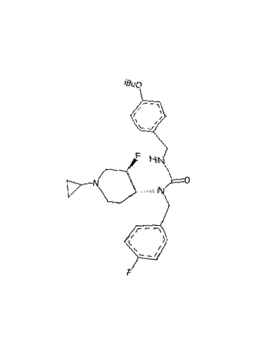 CC(C)COc1ccc(CNC(=O)N(Cc2ccc(F)cc2)[C@@H]2CCN(C3CC3)C[C@H]2F)cc1